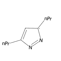 CCC[C]1C=C(CCC)N=N1